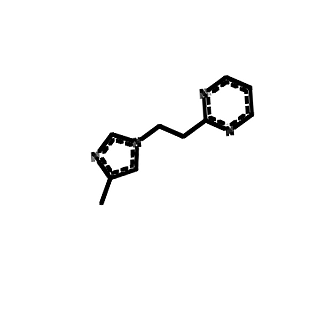 Cc1cn(CCc2ncccn2)cn1